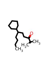 C=C(C)C(=O)CCC(CCCC)C1CCCCC1